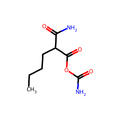 CCCCC(C(N)=O)C(=O)OC(N)=O